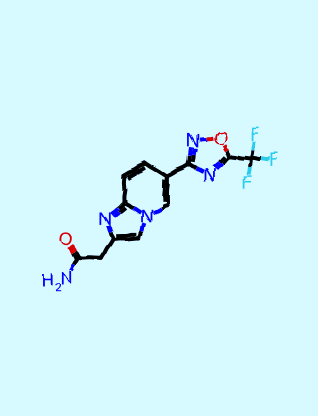 NC(=O)Cc1cn2cc(-c3noc(C(F)(F)F)n3)ccc2n1